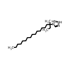 CCCCCCCCCCCCCCCC(C)(CC)N1C=NNN1